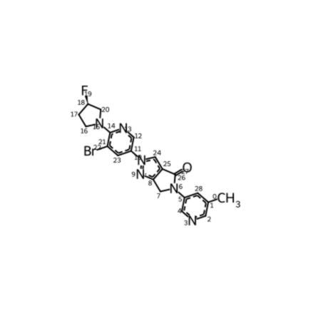 Cc1cncc(N2Cc3nn(-c4cnc(N5CC[C@@H](F)C5)c(Br)c4)cc3C2=O)c1